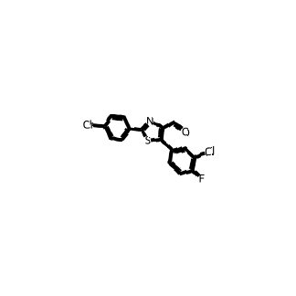 O=Cc1nc(-c2ccc(Cl)cc2)sc1-c1ccc(F)c(Cl)c1